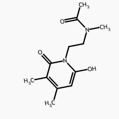 CC(=O)N(C)CCn1c(O)cc(C)c(C)c1=O